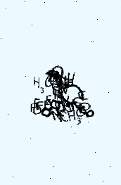 Cc1nc2ccc(OC(F)(F)F)cc2c2c1O[C@@]1(C[C@H]3C(=O)N[C@]4(C(=O)NS(=O)(=O)C5(C)CC5)C[C@H]4/C=C\CCCCC[C@H](NC(=O)OC4CCCC4)C(=O)N3C1)CC2(F)F